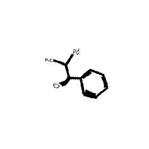 CC(=O)[CH]([Pd])C(=O)c1ccccc1